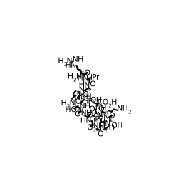 CC(C)C[C@H](NC(=O)[C@H](CCCCN)NC(=O)[C@H](CO)NC(=O)[C@H](C)NC(=O)[C@H](C)NC(=O)CNC(=O)CNC(=O)[C@@H](NC(=O)[C@@H](NC(=O)[C@H](CCCCN)NC(=O)[C@H](C)NC(=O)[C@@H](NC(=O)[C@@H](N)CCCNC(=N)N)C(C)C)C(C)C)[C@@H](C)O)C(=O)N[C@@H](CO)C(=O)O